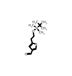 CC(C)(C)[Si](C)(C)OCCc1cc(C=O)cs1